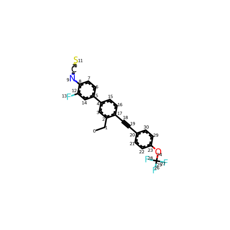 CCc1cc(-c2ccc(N=C=S)c(F)c2)ccc1C#Cc1ccc(OC(F)(F)F)cc1